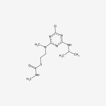 CNC(=O)SCCN(C)c1nc(Cl)nc(NC(C)C)n1